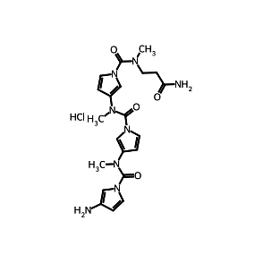 CN(CCC(N)=O)C(=O)n1ccc(N(C)C(=O)n2ccc(N(C)C(=O)n3ccc(N)c3)c2)c1.Cl